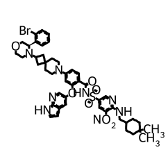 CC1(C)CCC(CNc2ncc(S(=O)(=O)NC(=O)c3ccc(N4CCC5(CC4)CC(N4CCOC[C@H]4c4ccccc4Br)C5)cc3Oc3cnc4[nH]ccc4c3)cc2[N+](=O)[O-])CC1